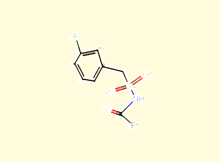 CCC(=O)NS(=O)(=O)Cc1cccc(Br)c1